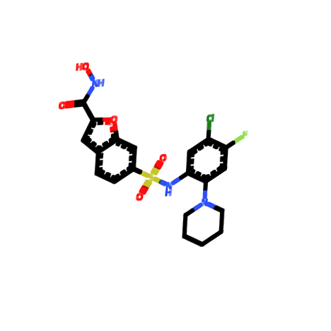 O=C(NO)c1cc2ccc(S(=O)(=O)Nc3cc(Cl)c(F)cc3N3CCCCC3)cc2o1